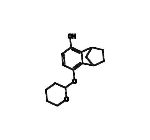 Oc1ccc(OC2CCCCO2)c2c1C1CCC2C1